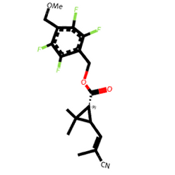 COCc1c(F)c(F)c(COC(=O)[C@@H]2C(C=C(C)C#N)C2(C)C)c(F)c1F